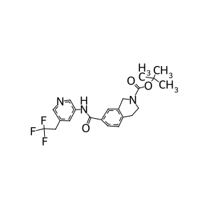 CC(C)(C)OC(=O)N1CCc2ccc(C(=O)Nc3cncc(CC(F)(F)F)c3)cc2C1